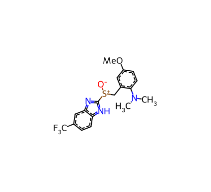 COc1ccc(N(C)C)c(C[S+]([O-])c2nc3cc(C(F)(F)F)ccc3[nH]2)c1